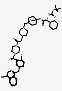 CC(C)(C)OC(=O)N[C@@H](C(=O)NC12CCC(CN3CCC(CC(=O)N4CCN(C(=O)c5cc(Cc6n[nH]c(=O)c7ccccc67)ccc5F)CC4)CC3)(CC1)OC2)C1CCCCC1